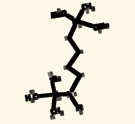 CCN(CCCC[Si](C)(OC)OC)[Si](C)(C)C(C)(C)C